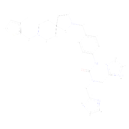 Cc1ccsc1CN1CCC2(CC1)CCN(Cc1ccc(NC(=O)N(Cc3ncc[nH]3)Cc3ncc[nH]3)cc1)C2